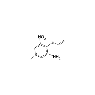 C=CSc1c(N)cc(C)cc1[N+](=O)[O-]